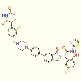 O=C1CCC(c2ccc(CN3CCN(c4ccc(-c5ccc6c(c5)C(=O)N(C(C(=O)Nc5nccs5)c5cc(F)ccc5O)C6)cc4)CC3)cc2F)C(=O)N1